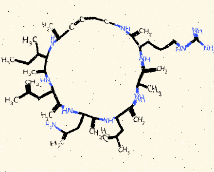 C=C(C)CC1NC(=C)C(C(C)CC)NC(=C)CCCCNC(=C)C(CCCNC(=N)N)NC(=C)C(C)NC(=C)C(CC(C)C)NC(=C)C(CC(=C)N)NC1=C